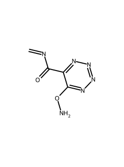 C=NC(=O)c1nnnnc1ON